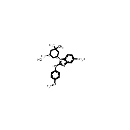 C[C@@H]1C[C@H](n2c(Nc3ccc(OC(F)(F)F)cc3)nc3cc(S(=O)(=O)O)ccc32)CC(C)(C)C1.Cl